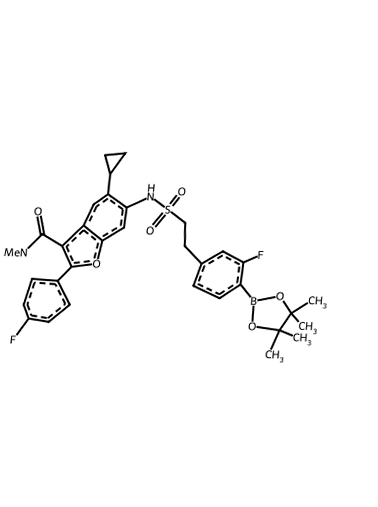 CNC(=O)c1c(-c2ccc(F)cc2)oc2cc(NS(=O)(=O)CCc3ccc(B4OC(C)(C)C(C)(C)O4)c(F)c3)c(C3CC3)cc12